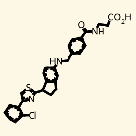 O=C(O)CCNC(=O)c1ccc(CNc2ccc3c(c2)CCC3c2nc(-c3ccccc3Cl)cs2)cc1